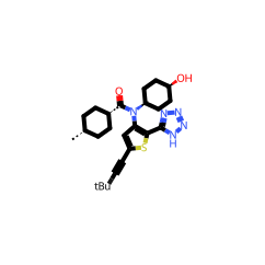 CC(C)(C)C#Cc1cc(N(C(=O)[C@H]2CC[C@@H](C)CC2)[C@H]2CC[C@@H](O)CC2)c(-c2nnn[nH]2)s1